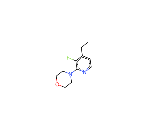 CCc1ccnc(N2CCOCC2)c1F